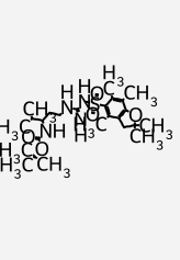 Cc1c(C)c(S(=O)(=O)NC(=N)NCCC(NC(=O)OC(C)(C)C)C(C)C)c(C)c2c1OC(C)(C)C2